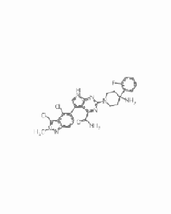 Cn1nc2ccc(-c3c[nH]c4nc(N5CCC(N)(c6ccccc6F)CC5)nc(C(N)=O)c34)c(Cl)c2c1Cl